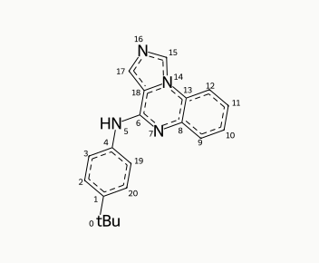 CC(C)(C)c1ccc(Nc2nc3ccccc3n3cncc23)cc1